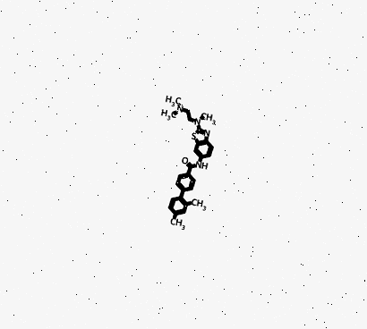 Cc1ccc(-c2ccc(C(=O)Nc3ccc4nc(N(C)CCN(C)C)sc4c3)cc2)c(C)c1